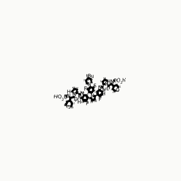 CC(C)(C)C1CCN(c2c(F)cc(N3[C@@H](c4cc5nc([C@@H]6CCCN6C(=O)[C@@H](NC(=O)O)C6CCOCC6)[nH]c5cc4F)CC[C@@H]3c3cc4nc([C@@H]5CCCN5C(=O)[C@@H](NC(=O)O)C5CCOCC5)[nH]c4cc3F)cc2F)CC1